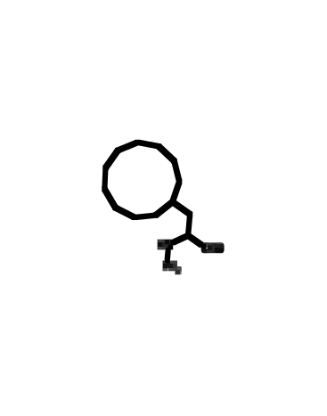 O=CC(CC1CCCCCCCCCC1)NP